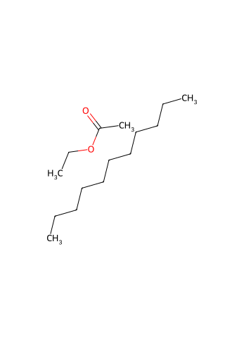 CCCCCCCCCCC.CCOC(C)=O